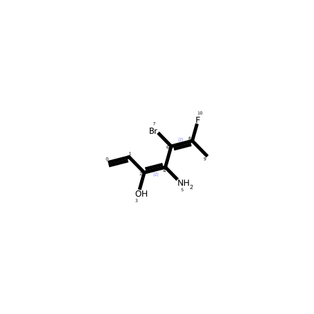 C=C/C(O)=C(N)\C(Br)=C(/C)F